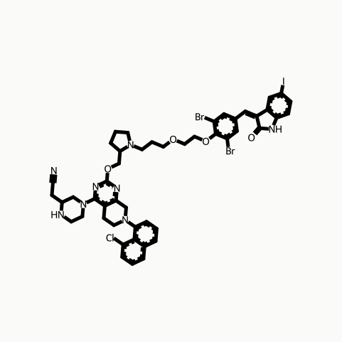 N#CCC1CN(c2nc(OCC3CCCN3CCCOCCOc3c(Br)cc(C=C4C(=O)Nc5ccc(I)cc54)cc3Br)nc3c2CCN(c2cccc4cccc(Cl)c24)C3)CCN1